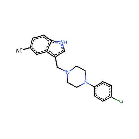 N#Cc1ccc2[nH]cc(CN3CCN(c4ccc(Cl)cc4)CC3)c2c1